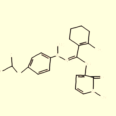 CC1=C(/C(=N\N(C=O)c2ccc(OC(F)F)cc2)Nc2cccn(C)c2=O)CCCC1